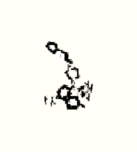 Cc1cccc(C)c1-n1nnnc1[C@H](c1ccc(C(F)(F)F)cc1)N1CCN(C/C=C/c2ccccc2)CC1